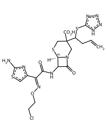 C=CCC(Sc1nnn[nH]1)C1(C(=O)O)CS[C@@H]2C(NC(=O)C(=NOCCCl)c3csc(N)n3)C(=O)N2C1